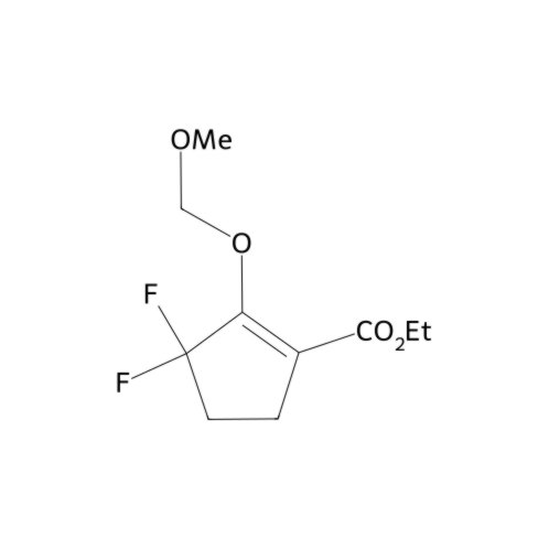 CCOC(=O)C1=C(OCOC)C(F)(F)CC1